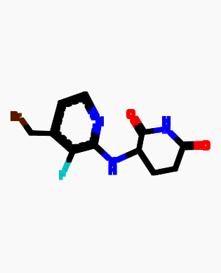 O=C1CCC(Nc2nccc(CBr)c2F)C(=O)N1